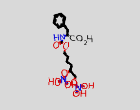 O=C(NC(Cc1ccccc1)C(=O)O)OCCCCC(CON(O)O)ON(O)O